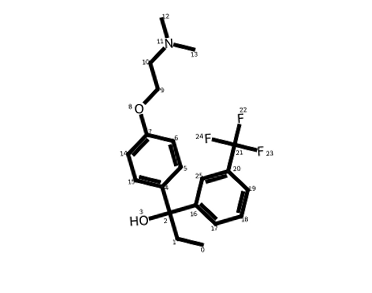 CCC(O)(c1ccc(OCCN(C)C)cc1)c1cccc(C(F)(F)F)c1